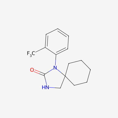 O=C1NCC2(CCCCC2)N1c1ccccc1C(F)(F)F